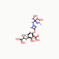 CC(Cc1ccc(OC2CN(CC(N)(CO)CO)C2)c(C(=O)O)c1O)B(O)O